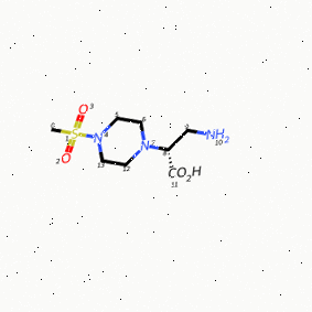 CS(=O)(=O)N1CCN([C@H](CN)C(=O)O)CC1